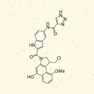 COc1cccc2c(O)cc3c(c12)C(CCl)CN3C(=O)c1cc2cc(NC(=O)c3c[nH]nn3)ccc2[nH]1